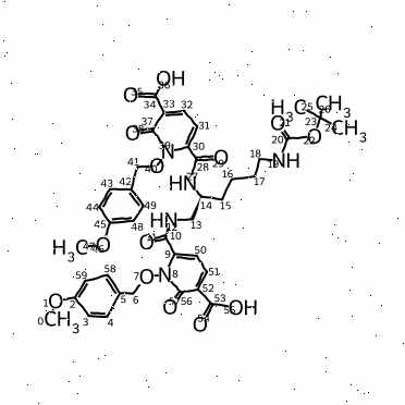 COc1ccc(COn2c(C(=O)NC[C@H](CCCCNC(=O)OC(C)(C)C)NC(=O)c3ccc(C(=O)O)c(=O)n3OCc3ccc(OC)cc3)ccc(C(=O)O)c2=O)cc1